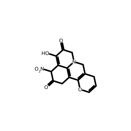 O=C1CN2CC3=C(OC=CC3)C3=C2C(=C1O)C([N+](=O)[O-])C(=O)C3